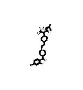 Cc1cc(C(C(N)=O)C2CCC(CCN3CCC(C(=O)c4ccc(F)cc4F)CC3)CC2)on1